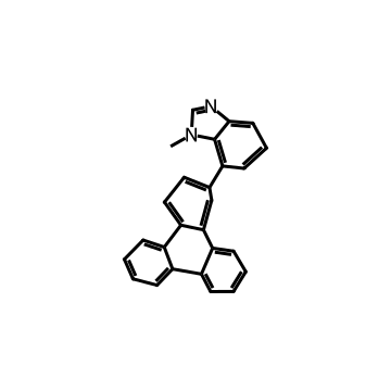 Cn1cnc2cccc(-c3ccc4c5ccccc5c5ccccc5c4c3)c21